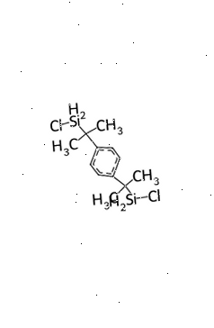 CC(C)([SiH2]Cl)c1ccc(C(C)(C)[SiH2]Cl)cc1